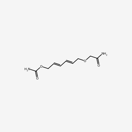 NC(=O)COC/C=C/C=C/COC(N)=O